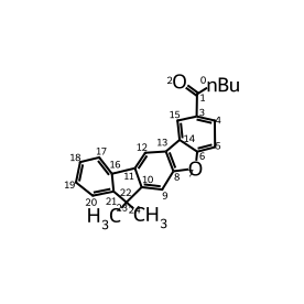 CCCCC(=O)c1ccc2oc3cc4c(cc3c2c1)-c1ccccc1C4(C)C